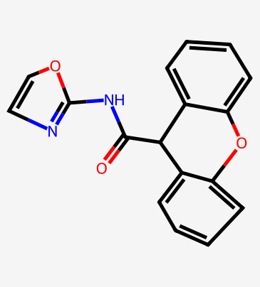 O=C(Nc1ncco1)C1c2ccccc2Oc2ccccc21